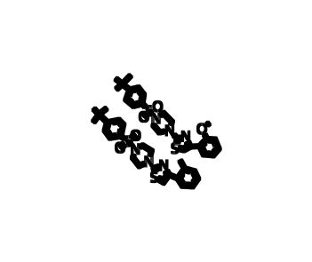 COc1ccccc1-c1csc(N2CCN(S(=O)(=O)c3ccc(C(C)(C)C)cc3)CC2)n1.Cc1ccccc1-c1csc(N2CCN(S(=O)(=O)c3ccc(C(C)(C)C)cc3)CC2)n1